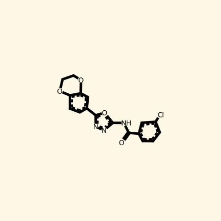 O=C(Nc1nnc(-c2ccc3c(c2)OCCO3)o1)c1cccc(Cl)c1